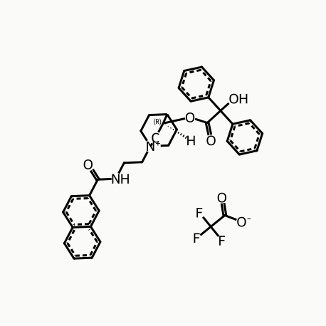 O=C(NCC[N+]12CCC(CC1)[C@@H](OC(=O)C(O)(c1ccccc1)c1ccccc1)C2)c1ccc2ccccc2c1.O=C([O-])C(F)(F)F